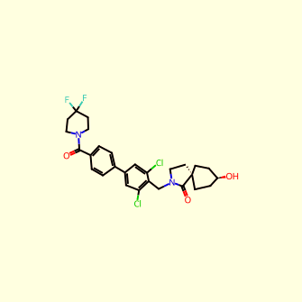 O=C(c1ccc(-c2cc(Cl)c(CN3CC[C@]4(CC[C@H](O)CC4)C3=O)c(Cl)c2)cc1)N1CCC(F)(F)CC1